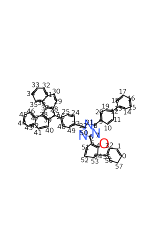 C1=Cc2oc3c(-c4nc(-c5ccc(-c6ccccc6)cc5)nc(-c5ccc(C6c7ccc8ccccc8c7-c7c6ccc6ccccc76)cc5)n4)cccc3c2CC1